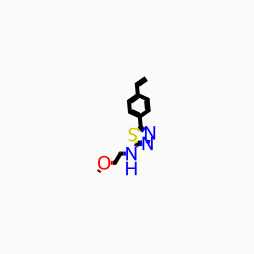 C=Cc1ccc(-c2nnc(NCCOC)s2)cc1